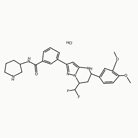 COc1ccc(C2CC(C(F)F)n3nc(-c4cccc(C(=O)NC5CCCNC5)c4)cc3N2)cc1OC.Cl